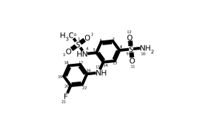 CS(=O)(=O)Nc1ccc(S(N)(=O)=O)cc1Nc1cccc(F)c1